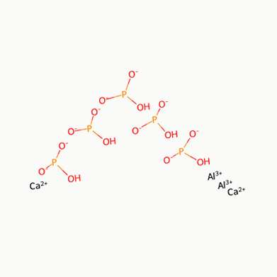 [Al+3].[Al+3].[Ca+2].[Ca+2].[O-]P([O-])O.[O-]P([O-])O.[O-]P([O-])O.[O-]P([O-])O.[O-]P([O-])O